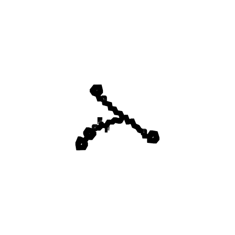 FC(CCC=CC(CCCCCCOCc1ccccc1)CCCCCCOCc1ccccc1)C(F)COc1ccc(-c2ccccc2)cc1